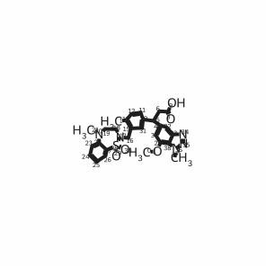 COc1cc(C(CC(=O)O)c2ccc(C)c(CN3CCN(C)c4ccccc4S3(=O)=O)c2)cc2nnn(C)c12